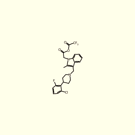 Cc1c(CN2CCC(c3c(F)cccc3Cl)CC2)c2ccccc2n1CC(=O)OC(=O)C(F)(F)F